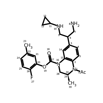 CC(=O)N1c2ccc(C(CN)CNC3CC3)cc2N(C(=O)Oc2cc(C)ccc2F)C[C@@H]1C